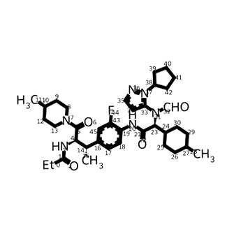 CCC(=O)N[C@@H](C(=O)N1CCC(C)CC1)[C@@H](C)c1ccc(NC(=O)[C@H](C2CCC(C)CC2)N(C=O)c2ccnn2C2CCCC2)c(F)c1